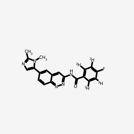 [2H]c1c([2H])c(C(=O)Nc2cc3cc(-c4cnc(C)n4C)ccc3nn2)c([2H])c([2H])c1F